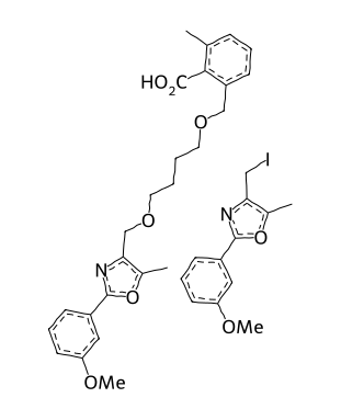 COc1cccc(-c2nc(CI)c(C)o2)c1.COc1cccc(-c2nc(COCCCCOCc3cccc(C)c3C(=O)O)c(C)o2)c1